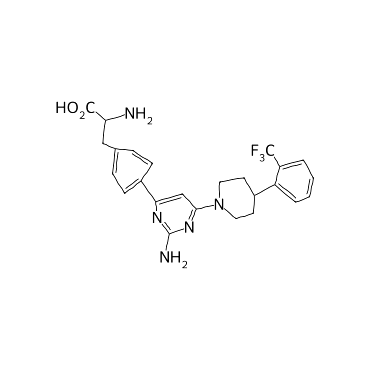 Nc1nc(-c2ccc(CC(N)C(=O)O)cc2)cc(N2CCC(c3ccccc3C(F)(F)F)CC2)n1